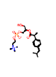 CC(C)Cc1ccc(C(C)C(=O)O[C@H](CO)COP(=O)([O-])OCC[N+](C)(C)C)cc1